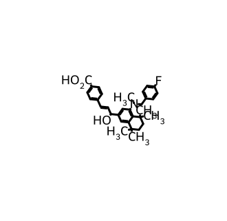 CN(Cc1ccc(F)cc1)c1cc(C(O)/C=C/c2ccc(C(=O)O)cc2)cc2c1C(C)(C)CCC2(C)C